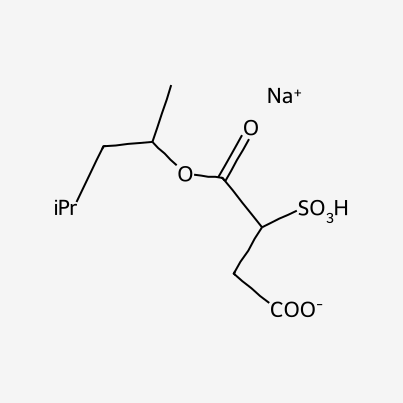 CC(C)CC(C)OC(=O)C(CC(=O)[O-])S(=O)(=O)O.[Na+]